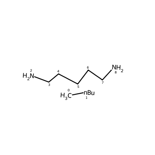 CCCCC.NCCCCCN